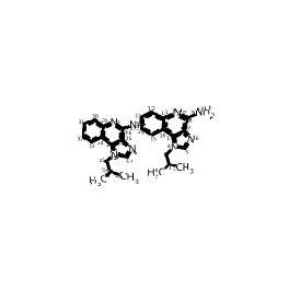 CC(C)Cn1cnc2c(N)nc3ccccc3c21.CC(C)Cn1cnc2c(N)nc3ccccc3c21